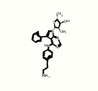 C[C@H]1O[C@@H](n2cc(-c3ccccc3)c3c(Nc4ccc(CCN)cc4)ncnc32)[C@H](O)[C@@H]1O